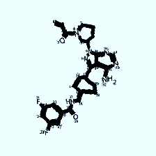 C=CC(=O)N1CCCC(n2nc(-c3ccc(CNC(=O)c4cc(F)cc(F)c4)cc3)c3c(N)ncnc32)C1